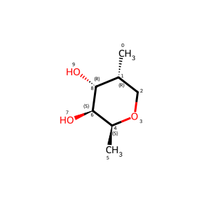 C[C@@H]1CO[C@@H](C)[C@@H](O)[C@@H]1O